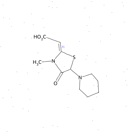 CN1C(=O)C(N2CCCCC2)S/C1=C/C(=O)O